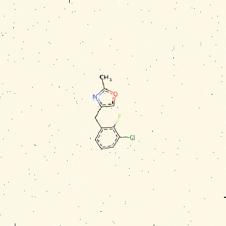 Cc1nc(Cc2cccc(Cl)c2F)co1